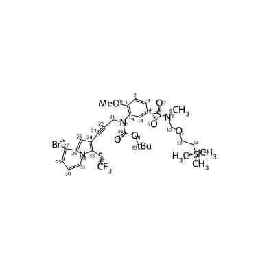 COc1ccc(S(=O)(=O)N(C)COCC[Si](C)(C)C)cc1N(CC#Cc1cc2c(Br)cccn2c1SC(F)(F)F)C(=O)OC(C)(C)C